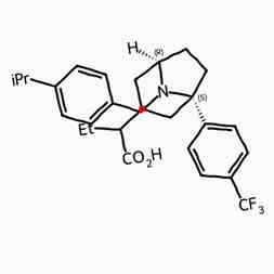 CCC(C(=O)O)C1C[C@H]2CC[C@@](c3ccc(C(F)(F)F)cc3)(C1)N2Cc1ccc(C(C)C)cc1